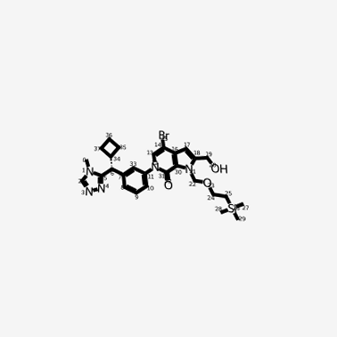 Cn1cnnc1[C@@H](c1cccc(-n2cc(Br)c3cc(CO)n(COCC[Si](C)(C)C)c3c2=O)c1)C1CCC1